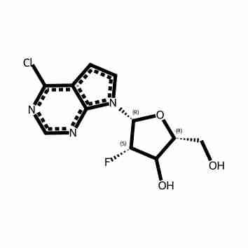 OC[C@H]1O[C@@H](n2ccc3c(Cl)ncnc32)[C@@H](F)C1O